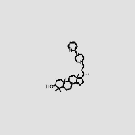 C[C@@H](CCN1CCN(c2ccccn2)CC1)[C@H]1CC=C2C3=C(CC[C@@]21C)[C@@]1(C)CCC(O)C(C)(C)C1CC3